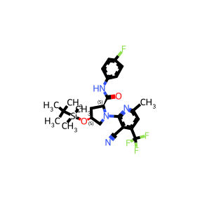 Cc1cc(C(F)(F)F)c(C#N)c(N2C[C@@H](O[Si](C)(C)C(C)(C)C)C[C@H]2C(=O)Nc2ccc(F)cc2)n1